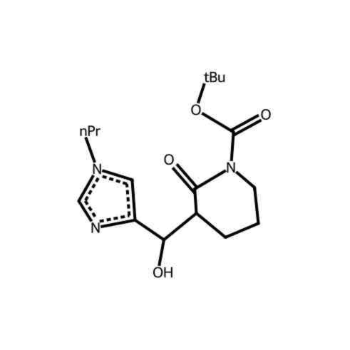 CCCn1cnc(C(O)C2CCCN(C(=O)OC(C)(C)C)C2=O)c1